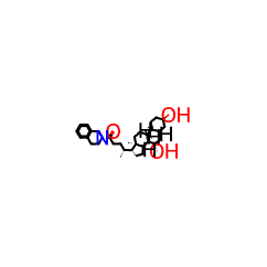 C[C@H](CCC(=O)N1CCc2ccccc2C1)[C@H]1CC[C@H]2[C@@H]3[C@@H](O)C[C@@H]4C[C@H](O)CC[C@]4(C)[C@H]3CC[C@]12C